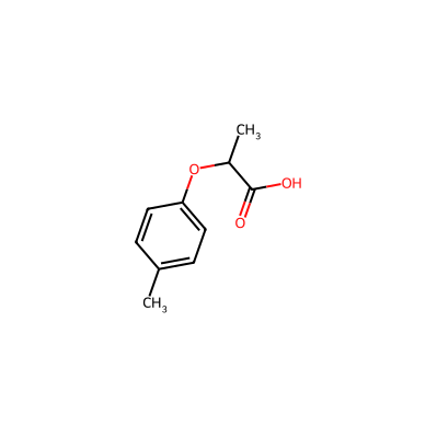 Cc1ccc(OC(C)C(=O)O)cc1